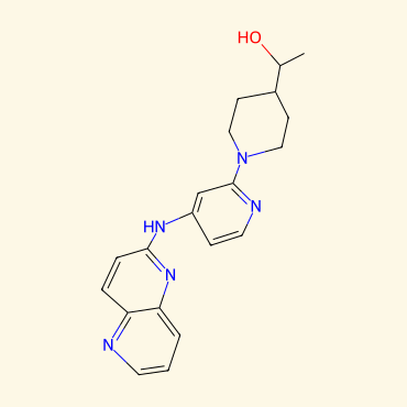 CC(O)C1CCN(c2cc(Nc3ccc4ncccc4n3)ccn2)CC1